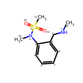 CNCc1ccccc1N(C)S(C)(=O)=O